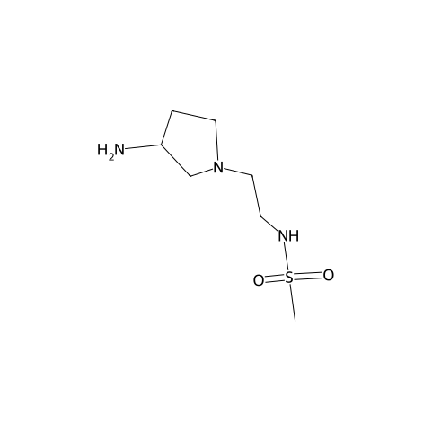 CS(=O)(=O)NCCN1CCC(N)C1